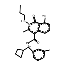 CCCNn1c(C)c(C(=O)N[C@H](c2cccc(F)c2)C2CCC2)c2cccc([18F])c2c1=O